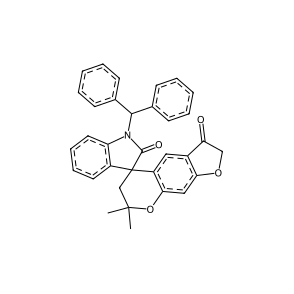 CC1(C)CC2(C(=O)N(C(c3ccccc3)c3ccccc3)c3ccccc32)c2cc3c(cc2O1)OCC3=O